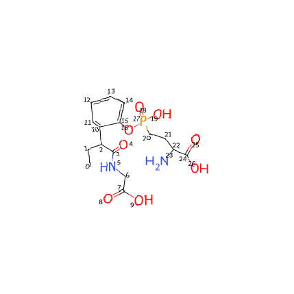 CCC(C(=O)NCC(=O)O)c1ccccc1OP(=O)(O)CCC(N)C(=O)O